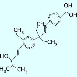 CCc1cc(C(C=Cc2ccc(C(O)O)cc2)(CC)CC)ccc1C=CC(O)C(C)C